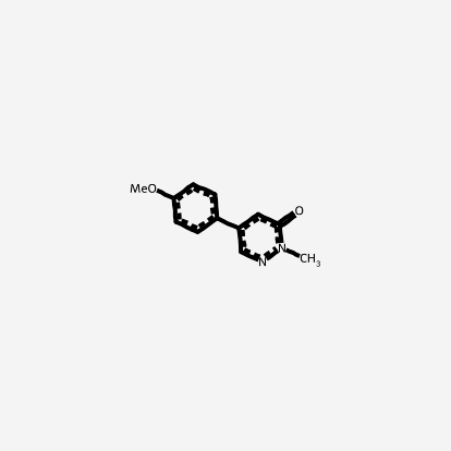 COc1ccc(-c2cnn(C)c(=O)c2)cc1